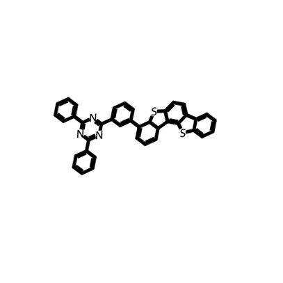 C1=CC2c3c(ccc4c3sc3ccccc34)SC2C(c2cccc(-c3nc(-c4ccccc4)nc(-c4ccccc4)n3)c2)=C1